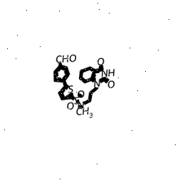 CN(CCCn1c2c(c(=O)[nH]c1=O)CCCC2)S(=O)(=O)c1ccc(-c2ccc(C=O)cc2)s1